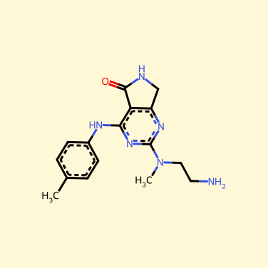 Cc1ccc(Nc2nc(N(C)CCN)nc3c2C(=O)NC3)cc1